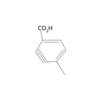 Cc1c#cc(C(=O)O)cc1